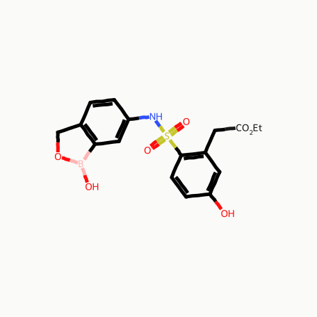 CCOC(=O)Cc1cc(O)ccc1S(=O)(=O)Nc1ccc2c(c1)B(O)OC2